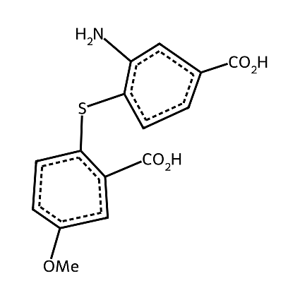 COc1ccc(Sc2ccc(C(=O)O)cc2N)c(C(=O)O)c1